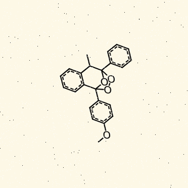 COc1ccc(C23OOC(c4ccccc4)(O2)C(C)c2ccccc23)cc1